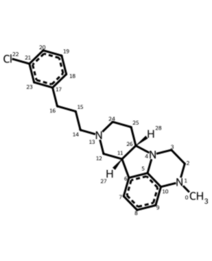 CN1CCN2c3c(cccc31)[C@@H]1CN(CCCc3cccc(Cl)c3)CC[C@@H]12